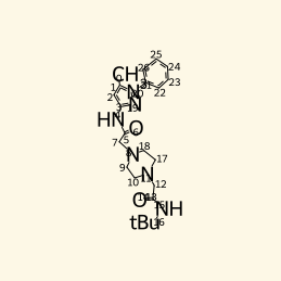 Cc1cc(NC(=O)CN2CCN(CC(=O)NC(C)(C)C)CC2)nn1-c1ccccc1